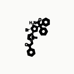 Cc1n([C@H]2CC[C@@H](C(C(N)=O)(c3ccccc3)c3ccccc3)C2)cc[n+]1CC(=O)c1ccccc1.[Br-]